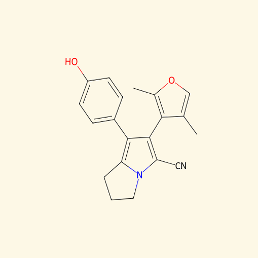 Cc1coc(C)c1-c1c(-c2ccc(O)cc2)c2n(c1C#N)CCC2